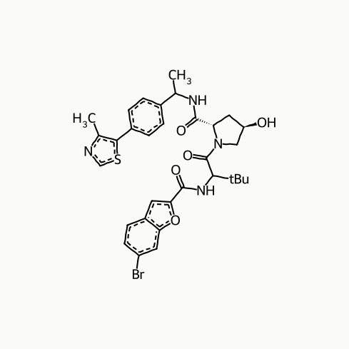 Cc1ncsc1-c1ccc(C(C)NC(=O)[C@@H]2C[C@@H](O)CN2C(=O)C(NC(=O)c2cc3ccc(Br)cc3o2)C(C)(C)C)cc1